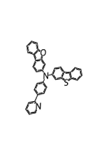 c1ccc(-c2ccc(N(c3ccc4c(c3)oc3ccccc34)c3ccc4c(c3)sc3ccccc34)cc2)nc1